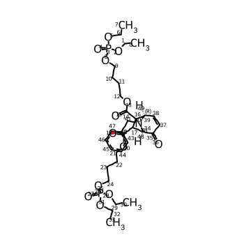 CCOP(=O)(OCC)OCCCCOC(=O)C1C(C(=O)OCCCCOP(=O)(OCC)OCC)[C@@H]2C(=O)C=C[C@H]1N2Cc1ccccc1